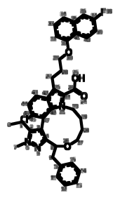 CCc1c2c(nn1C)C(Cc1ccccc1)OCCCCn1c(C(=O)O)c(CCCOc3cccc4cc(F)ccc34)c3ccc(Cl)c-2c31